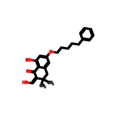 CC1(C)Cc2cc(OCCCCCc3ccccc3)cc(O)c2C(=O)C1=CO